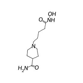 NC(=O)C1CCN(CCCCC(=O)NO)CC1